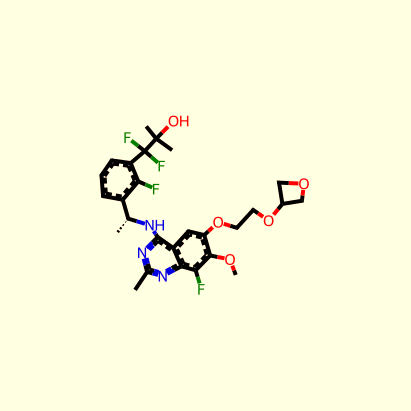 COc1c(OCCOC2COC2)cc2c(N[C@H](C)c3cccc(C(F)(F)C(C)(C)O)c3F)nc(C)nc2c1F